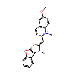 CC[n+]1c(/C=C2\Sc3oc4ccccc4c3N2C)ccc2cc(OC)ccc21